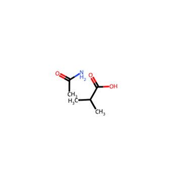 CC(C)C(=O)O.CC(N)=O